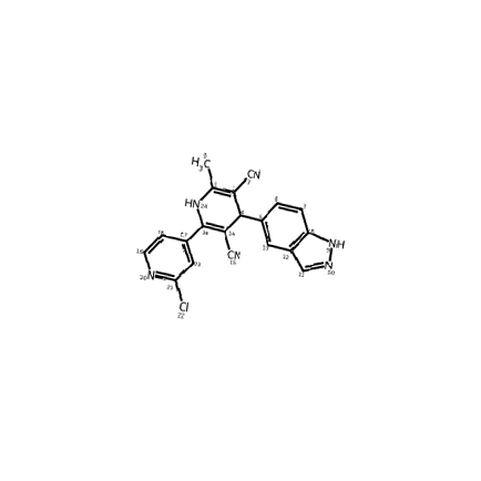 CC1=C(C#N)C(c2ccc3[nH]ncc3c2)C(C#N)=C(c2ccnc(Cl)c2)N1